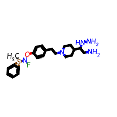 CS1(N(F)Oc2ccc(CCN3CCC(C(CN)NN)CC3)cc2)c2ccccc21